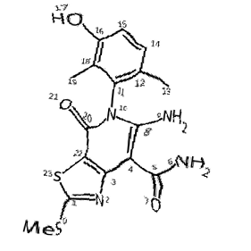 CSc1nc2c(C(N)=O)c(N)n(-c3c(C)ccc(O)c3C)c(=O)c2s1